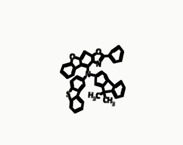 CC1(C)c2ccccc2-c2ccc(N(c3ccc4sc5ccccc5c4c3)c3c4nc(-c5ccccc5)oc4cc4oc5ccccc5c34)cc21